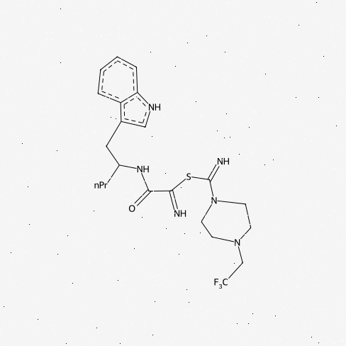 CCCC(Cc1c[nH]c2ccccc12)NC(=O)C(=N)SC(=N)N1CCN(CC(F)(F)F)CC1